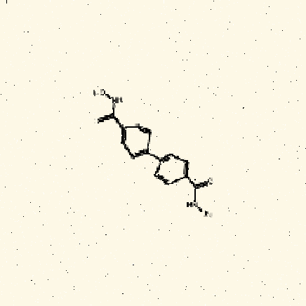 CC(C)(C)NC(=O)c1ccc(-c2ccc(C(=O)NO)cc2)cc1